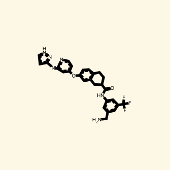 NCc1cc(NC(=O)C2CCc3ccc(Oc4ccnc(Nc5cc[nH]n5)c4)cc3C2)cc(C(F)(F)F)c1